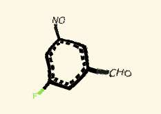 O=Cc1cc(F)cc(N=O)c1